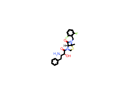 CC12SCN(C(=O)[C@@H](O)[C@@H](N)Cc3ccccc3)[C@@H]1C(=O)N2Cc1c(F)cccc1F